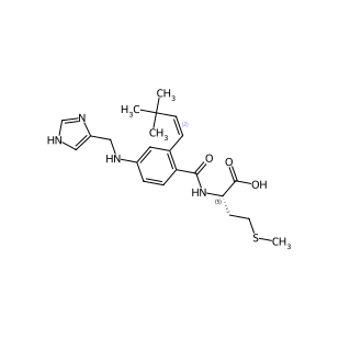 CSCC[C@H](NC(=O)c1ccc(NCc2c[nH]cn2)cc1/C=C\C(C)(C)C)C(=O)O